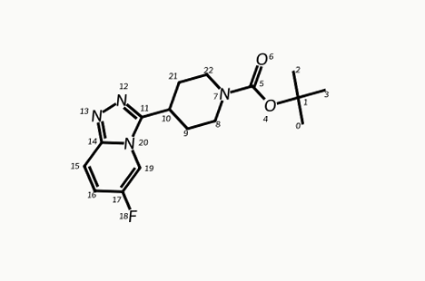 CC(C)(C)OC(=O)N1CCC(c2nnc3ccc(F)cn23)CC1